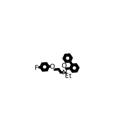 CCN(CCCOc1ccc(F)cc1)C(=O)c1ccccc1-c1ccccc1